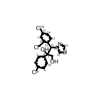 OCC(O)(c1ccc(Cl)cc1)C(c1ccc(Cl)cc1Cl)n1cncn1